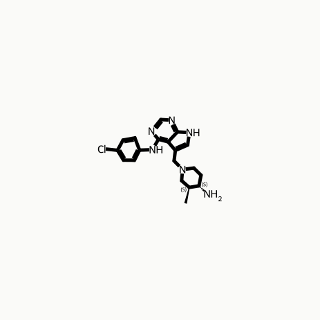 C[C@H]1CN(Cc2c[nH]c3ncnc(Nc4ccc(Cl)cc4)c23)CC[C@@H]1N